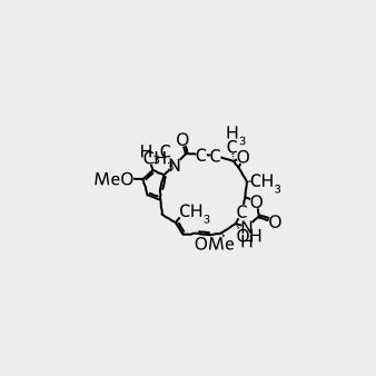 COc1cc2cc(c1C)N(C)C(=O)CC[C@@]1(C)OC1[C@H](C)C1C[C@@](O)(NC(=O)O1)[C@H](OC)/C=C/C=C(\C)C2